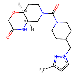 O=C1CO[C@H]2CCN(C(=O)N3CCC(Cn4ccc(C(F)(F)F)n4)CC3)C[C@H]2N1